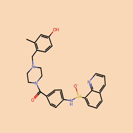 Cc1cc(O)ccc1CN1CCN(C(=O)c2ccc(N[S+]([O-])c3cccc4cccnc34)cc2)CC1